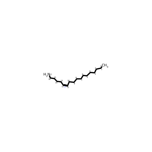 CCCCCCCCCCC/C=C\CCCCN